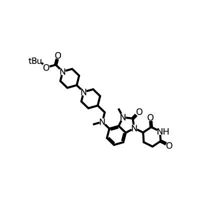 CN(CC1CCN(C2CCN(C(=O)OC(C)(C)C)CC2)CC1)c1cccc2c1n(C)c(=O)n2C1CCC(=O)NC1=O